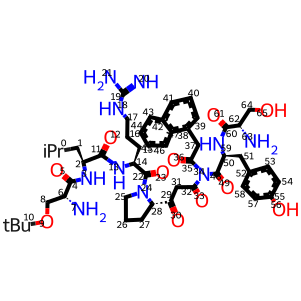 CC(C)C[C@H](NC(=O)[C@H](N)COC(C)(C)C)C(=O)N[C@@H](CCCNC(=N)N)C(=O)N1CCC[C@H]1C(=O)CC(=O)N(C(=O)Cc1cccc2ccccc12)C(=O)[C@H](Cc1ccc(O)cc1)NC(=O)[C@@H](N)CO